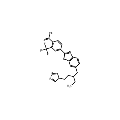 CCC(CCn1cnnc1)Cc1ccc2nc(-c3ccc(C(=O)O)c(C(F)(F)F)c3)sc2c1